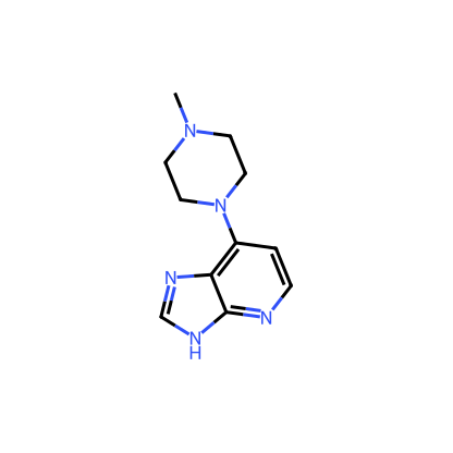 CN1CCN(c2ccnc3[nH]cnc23)CC1